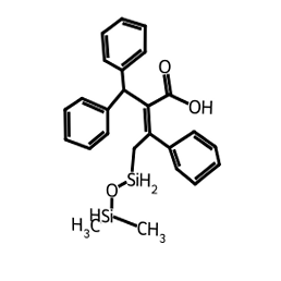 C[SiH](C)O[SiH2]CC(=C(C(=O)O)C(c1ccccc1)c1ccccc1)c1ccccc1